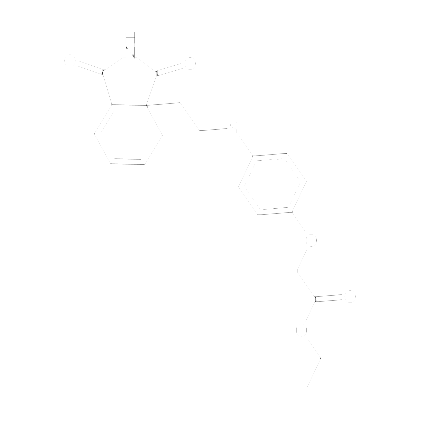 CCOC(=O)COc1ccc(SCCC23CC=CC=C2C(=O)NC3=O)cc1